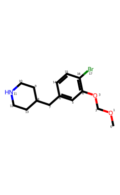 COCOc1cc(CC2CCNCC2)ccc1Br